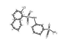 NS(=O)(=O)c1cccc(NS(=O)(=O)c2c(Cl)ccc3ccccc23)c1